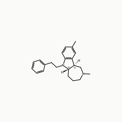 Cc1ccc2c(c1)[C@H]1CN(C)CCC[C@@H]1N2CCc1ccccc1